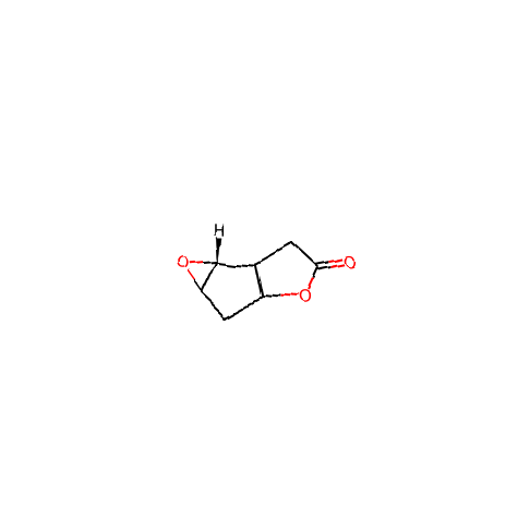 O=C1CC2C(CC3O[C@@H]32)O1